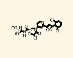 CC(C)C(NC(=O)OCN(C(=O)C(Cl)Cl)c1ccnc(-c2cc(-c3c(Cl)cccc3Cl)no2)c1)C(=O)O